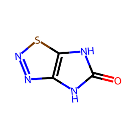 O=c1[nH]c2nnsc2[nH]1